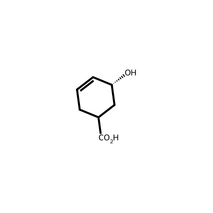 O=C(O)C1CC=C[C@H](O)C1